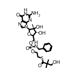 CC(C)(CO)C(=O)SCCOP(=O)(NCc1ccccc1)OCC1OC(n2cnc3c(=O)[nH]c(N)nc32)[C@](C)(O)[C@@H]1O